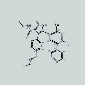 CCNCc1ccc(-c2c(C(=O)NCC)noc2-c2cc(-c3ccccc3)c(O)cc2O)cc1